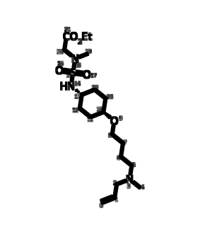 C=CCN(C)CCCCO[C@H]1CC[C@H](NS(=O)(=O)N(C)CC(=O)OCC)CC1